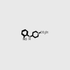 CCOC(=O)N1CCC(Nc2ccccc2N=O)CC1